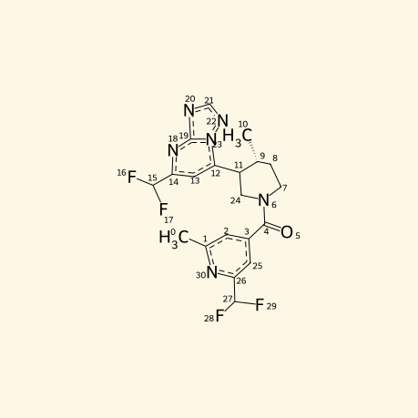 Cc1cc(C(=O)N2CC[C@@H](C)C(c3cc(C(F)F)nc4ncnn34)C2)cc(C(F)F)n1